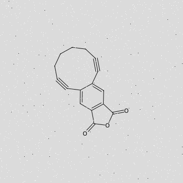 O=C1OC(=O)c2cc3c(cc21)C#CCCCCC#C3